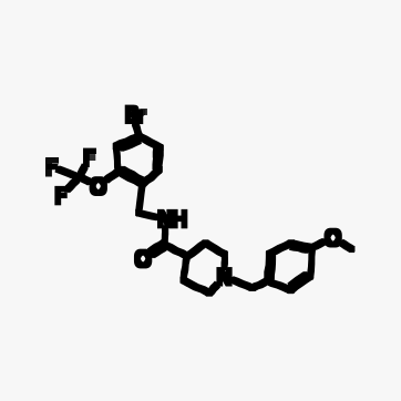 COc1ccc(CN2CCC(C(=O)NCc3ccc(Br)cc3OC(F)(F)F)CC2)cc1